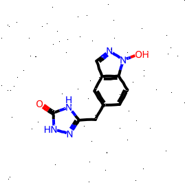 O=c1[nH]nc(Cc2ccc3c(cnn3O)c2)[nH]1